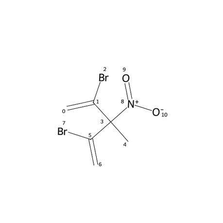 C=C(Br)C(C)(C(=C)Br)[N+](=O)[O-]